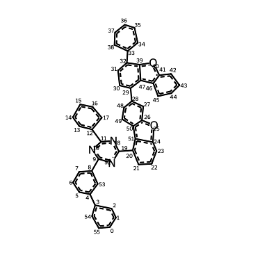 c1ccc(-c2cccc(-c3nc(-c4ccccc4)nc(-c4cccc5oc6cc(-c7ccc(-c8ccccc8)c8oc9ccccc9c78)ccc6c45)n3)c2)cc1